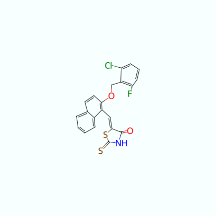 O=C1NC(=S)SC1=Cc1c(OCc2c(F)cccc2Cl)ccc2ccccc12